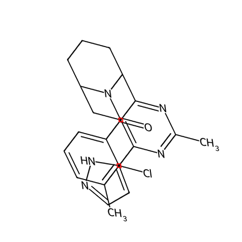 Cc1nc(-c2ccn[nH]2)c2c(n1)C1CCCC(C2)N1C(=O)c1cccc(C)c1Cl